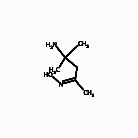 CC(CC(C)(C)N)=NO